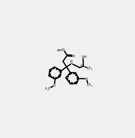 COC(=O)CC(NC[C@@H](O)C(F)(F)F)(c1cccc(OC(F)(F)F)c1)c1cccc(OC(F)(F)F)c1